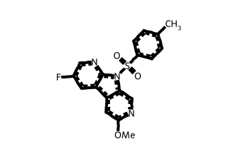 COc1cc2c3cc(F)cnc3n(S(=O)(=O)c3ccc(C)cc3)c2cn1